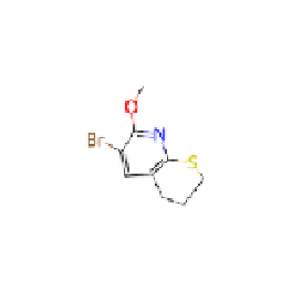 COc1nc2c(cc1Br)CCCS2